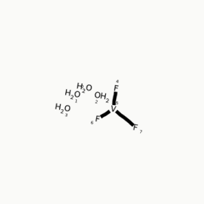 O.O.O.O.[F][V]([F])[F]